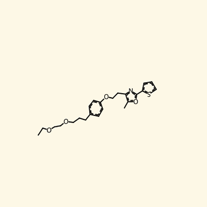 CCOCCOCCCc1ccc(OCCc2nc(-c3cccs3)oc2C)cc1